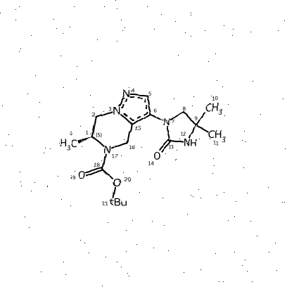 C[C@H]1Cn2ncc(N3CC(C)(C)NC3=O)c2CN1C(=O)OC(C)(C)C